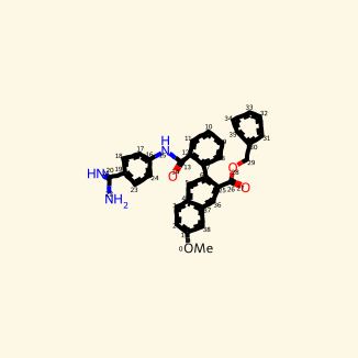 COc1ccc2cc(-c3ccccc3C(=O)Nc3ccc(C(=N)N)cc3)c(C(=O)OCc3ccccc3)cc2c1